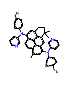 Cc1cc(N(c2ccc(C#N)cc2)c2cccnc2)c2cc3c4c(cc(N(c5ccc(C#N)cc5)c5cccnc5)c5ccc1c2c54)CCC3(C)C